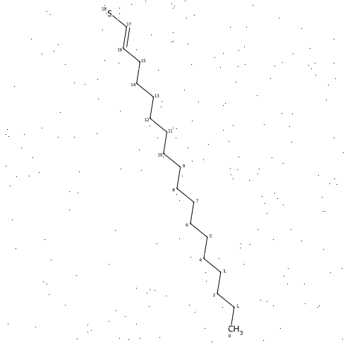 CCCCCCCCCCCCCCCC/C=C/[S]